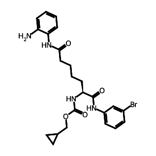 Nc1ccccc1NC(=O)CCCC[C@H](NC(=O)OCC1CC1)C(=O)Nc1cccc(Br)c1